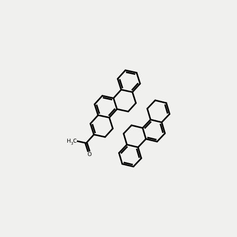 C1=Cc2ccc3c(c2CC1)CCc1ccccc1-3.CC(=O)C1=Cc2ccc3c(c2CC1)CCc1ccccc1-3